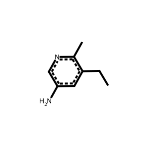 CCc1cc(N)cnc1C